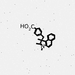 CC1=[N+](C)c2ccc3ccccc3c2C1(C)Cc1ccc(C(=O)O)cc1